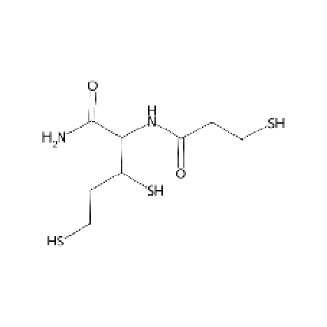 NC(=O)C(NC(=O)CCS)C(S)CCS